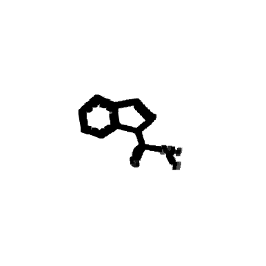 O=C([NH][Ti])C1C=Cc2ccccc21